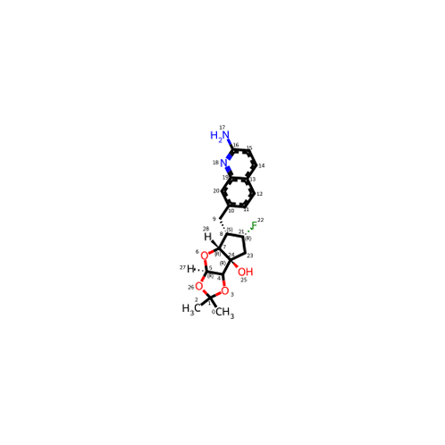 CC1(C)OC2[C@H](O[C@@H]3[C@H](Cc4ccc5ccc(N)nc5c4)[C@H](F)C[C@]23O)O1